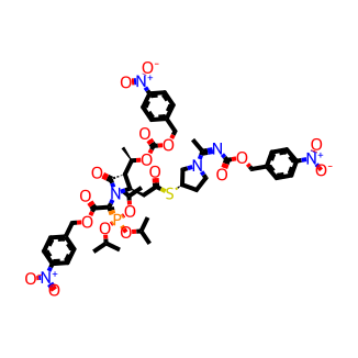 CC(=NC(=O)OCc1ccc([N+](=O)[O-])cc1)N1CC[C@H](SC(=O)C[C@@H]2[C@@H]([C@@H](C)OC(=O)OCc3ccc([N+](=O)[O-])cc3)C(=O)N2C(C(=O)OCc2ccc([N+](=O)[O-])cc2)=P(OC(C)C)(OC(C)C)OC(C)C)C1